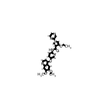 CCOc1cn(-c2cnccn2)nc1C(=O)Nc1ccc(Oc2ccnc3cc(OC)c(OC)cc23)cn1